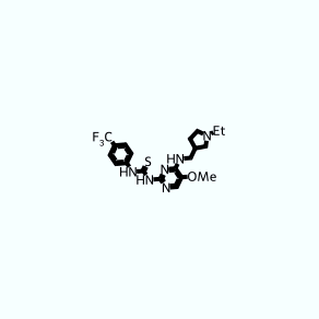 CCN1CCC(CNc2nc(NC(=S)Nc3ccc(C(F)(F)F)cc3)ncc2OC)C1